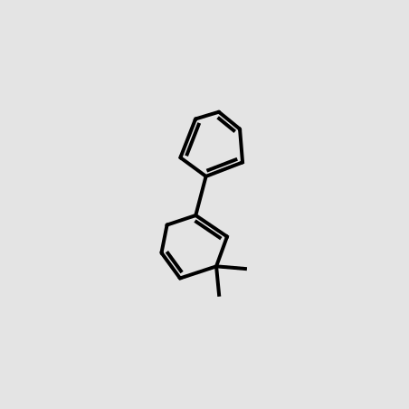 CC1(C)C=CCC(c2ccccc2)=C1